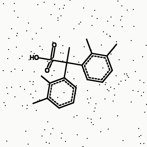 Cc1cccc(C(C)(c2cccc(C)c2C)S(=O)(=O)O)c1C